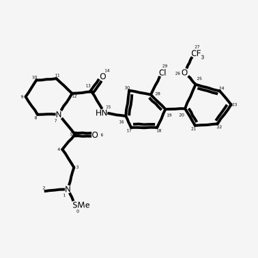 CSN(C)CCC(=O)N1CCCCC1C(=O)Nc1ccc(-c2ccccc2OC(F)(F)F)c(Cl)c1